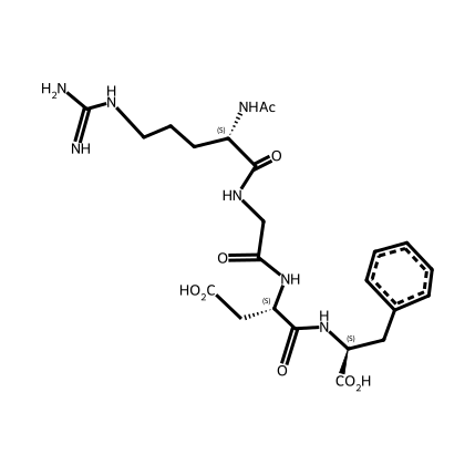 CC(=O)N[C@@H](CCCNC(=N)N)C(=O)NCC(=O)N[C@@H](CC(=O)O)C(=O)N[C@@H](Cc1ccccc1)C(=O)O